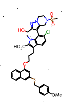 COc1ccc(CSc2cc(OCCCc3c(C(=O)O)n(C)c4c(-c5c(CO)nn6c5CN(S(C)(=O)=O)CC6)c(Cl)ccc34)c3ccccc3c2)cc1